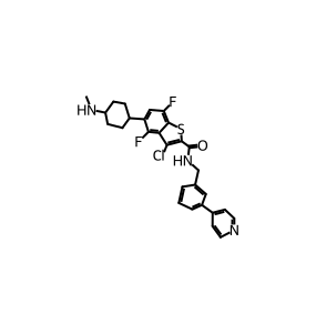 CNC1CCC(c2cc(F)c3sc(C(=O)NCc4cccc(-c5ccncc5)c4)c(Cl)c3c2F)CC1